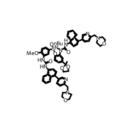 CCCCN(N(C(=O)Nc1ccc(-c2ccc(CN3CCOCC3)nc2)c2ccccc12)c1cccc(C2(C)OCCO2)c1)S(=O)(=O)c1ccc(OC)c(NC(=O)Nc2ccc(-c3ccc(CN4CCOCC4)nc3)c3ccccc23)c1